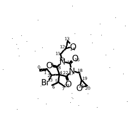 C=CC(Br)C1(C(C)C)C(=O)N(CC2CO2)C(=O)N(CC2CO2)C1=O